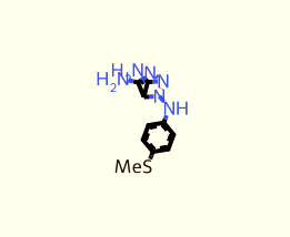 CSc1ccc(NN2C3C(N)=NN2C3N)cc1